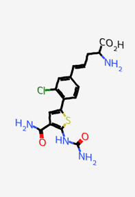 NC(=O)Nc1sc(-c2ccc(/C=C/CC(N)C(=O)O)cc2Cl)cc1C(N)=O